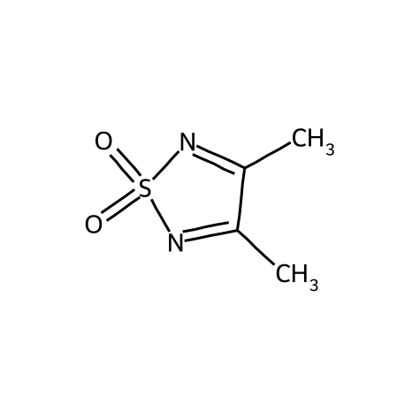 CC1=NS(=O)(=O)N=C1C